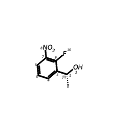 C[C@@H](O)c1cccc([N+](=O)[O-])c1F